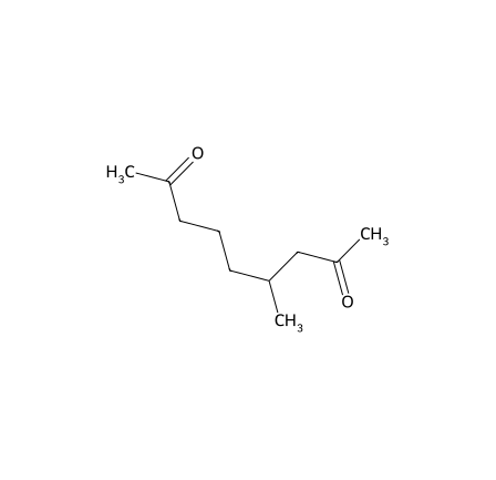 CC(=O)CCCC(C)CC(C)=O